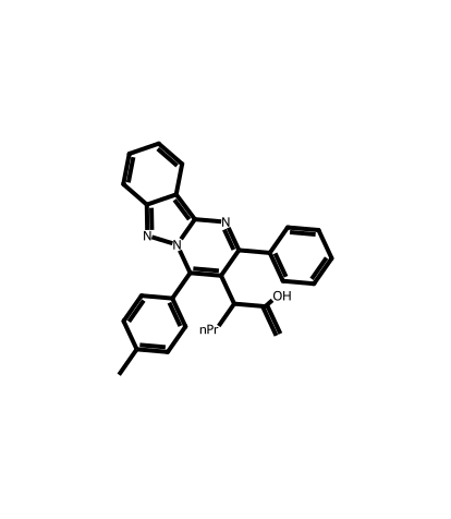 C=C(O)C(CCC)c1c(-c2ccccc2)nc2c3ccccc3nn2c1-c1ccc(C)cc1